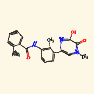 CCCCc1ccccc1C(=O)Nc1cccc(-c2cn(C)c(=O)c(O)n2)c1C